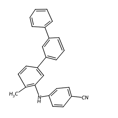 Cc1ccc(-c2cccc(-c3ccccc3)c2)cc1Nc1ccc(C#N)cc1